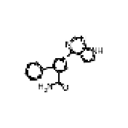 NC(=O)c1cn(-c2ncnc3[nH]ccc23)cc1-c1ccccc1